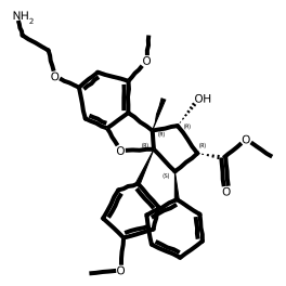 COC(=O)[C@H]1[C@@H](O)[C@@]2(C)c3c(OC)cc(OCCN)cc3O[C@@]2(c2ccc(OC)cc2)[C@@H]1c1ccccc1